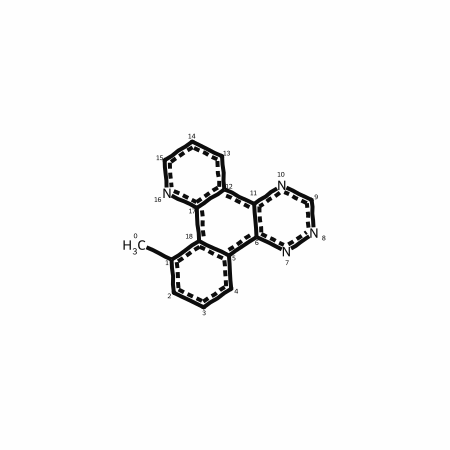 Cc1cccc2c3nncnc3c3cccnc3c12